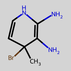 CC1(Br)C=CNC(N)=C1N